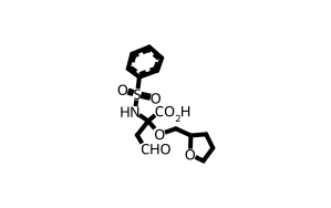 O=CCC(NS(=O)(=O)c1ccccc1)(OCC1CCCO1)C(=O)O